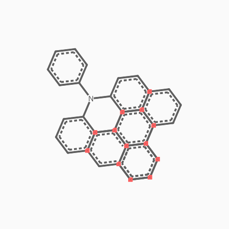 c1ccc(-c2cccc3cccc(-c4ccccc4N(c4ccccc4)c4ccccc4-c4cccc5ccccc45)c23)cc1